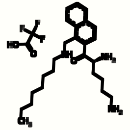 CCCCCCCCNCc1c(C(=O)[C@@H](N)CCCCN)ccc2ccccc12.O=C(O)C(F)(F)F